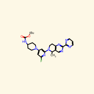 CC1c2cnc(-c3ncccn3)nc2CCN1c1cc(N2CCC(NC(=O)OC(C)(C)C)CC2)cc(F)n1